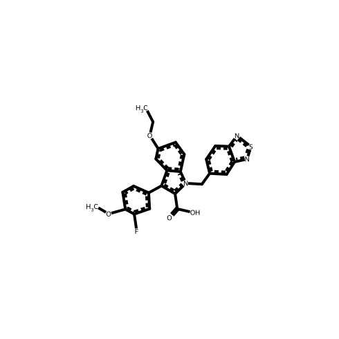 CCOc1ccc2c(c1)c(-c1ccc(OC)c(F)c1)c(C(=O)O)n2Cc1ccc2nsnc2c1